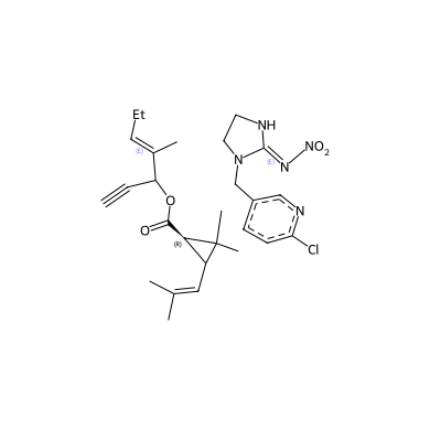 C#CC(OC(=O)[C@@H]1C(C=C(C)C)C1(C)C)/C(C)=C/CC.O=[N+]([O-])/N=C1\NCCN1Cc1ccc(Cl)nc1